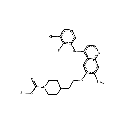 COc1cc2ncnc(Nc3cccc(Cl)c3F)c2cc1OCCC1CCN(C(=O)OC(C)(C)C)CC1